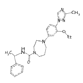 CCOc1cc(N2CCCN(C(=O)NC(C)c3ccccc3)CC2)ccc1-n1cnc(C)n1